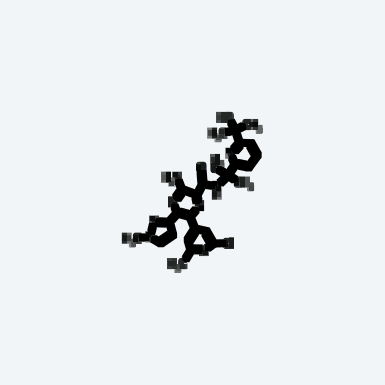 Cc1cc(-c2nc(C(=O)NC(C)(C)c3cccc(C(C)(C)O)n3)c(N)nc2-c2ccn(C)n2)cc(Cl)n1